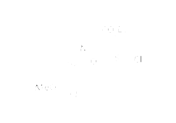 CCOC(=O)Cc1nc(-c2ccc(OC)c(Cl)c2)oc1-c1ccc(Cl)s1